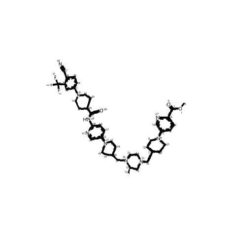 COC(=O)c1ccc(N2CCC(CN3CCN(CC4CCN(c5ccc(NC(=O)C6CCN(c7ccc(C#N)c(C(F)(F)F)c7)CC6)nc5)CC4)[C@H](C)C3)CC2)cn1